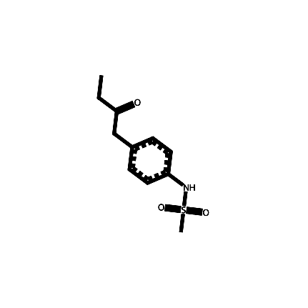 CCC(=O)Cc1ccc(NS(C)(=O)=O)cc1